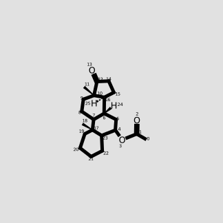 CC(=O)OC1C[C@@H]2C(CC[C@]3(C)C(=O)CC[C@@H]23)[C@@]2(C)CCCCC12